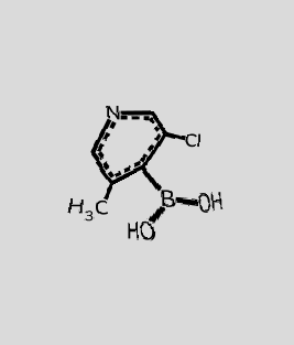 Cc1cncc(Cl)c1B(O)O